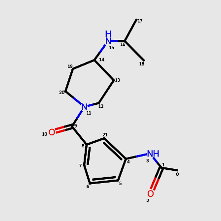 CC(=O)Nc1cccc(C(=O)N2CCC(NC(C)C)CC2)c1